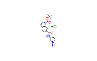 CC(C)(C)OC(=O)n1ccc2ccc(C(=O)NC3CCNC3)cc21.Cl